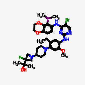 CCc1cc(Nc2ncc(Br)c(Nc3ccc4c(c3P(C)C)OCCO4)n2)c(OC)cc1N1CCC(N2CC(F)(C(C)(C)O)C2)CC1